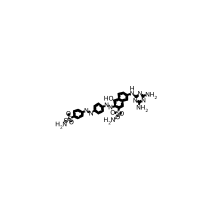 NOS(=O)(=O)c1ccc(N=Nc2ccc(N=Nc3c(S(=O)(=O)ON)cc4cc(Nc5nc(N)nc(N)n5)ccc4c3O)cc2)cc1